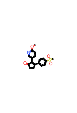 COc1ccc(C2=C(c3ccc(S(C)(=O)=O)cc3)CCC2=O)cn1